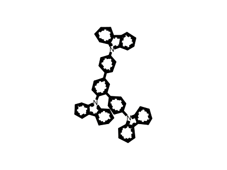 c1ccc2c(c1)c1ccccc1n2-c1ccc(-c2ccc(-n3c4ccccc4c4ccccc43)c(-c3ccc(-n4c5ccccc5c5ccccc54)cc3)c2)cc1